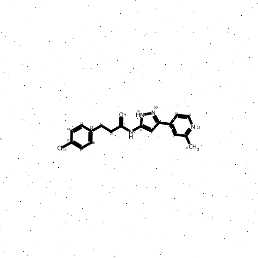 Cc1cc(-c2cc(NC(=O)CCc3ccc(Cl)cc3)[nH]n2)ccn1